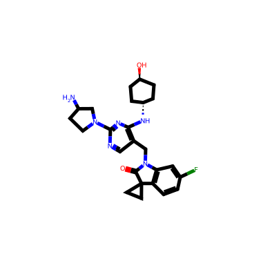 NC1CCN(c2ncc(CN3C(=O)C4(CC4)c4ccc(F)cc43)c(N[C@H]3CC[C@H](O)CC3)n2)C1